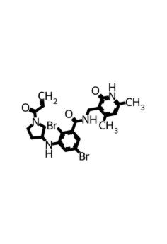 C=CC(=O)N1CCC(Nc2cc(Br)cc(C(=O)NCc3c(C)cc(C)[nH]c3=O)c2Br)C1